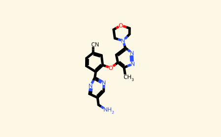 Cc1nnc(N2CCOCC2)cc1Oc1cc(C#N)ccc1-c1ncc(CN)cn1